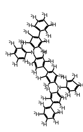 [2H]c1c([2H])c([2H])c(-c2c([2H])c([2H])c(N(c3c([2H])c([2H])c([2H])c([2H])c3[2H])c3c([2H])c([2H])c(-c4c([2H])c([2H])c(N(c5c([2H])c([2H])c([2H])c([2H])c5[2H])c5c([2H])c([2H])c(-c6c([2H])c([2H])c([2H])c([2H])c6[2H])c([2H])c5[2H])c([2H])c4[2H])c([2H])c3[2H])c([2H])c2[2H])c([2H])c1[2H]